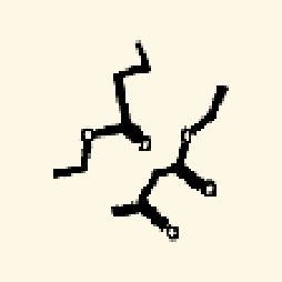 CCCC(=O)OCC.CCOC(=O)CC(C)=O